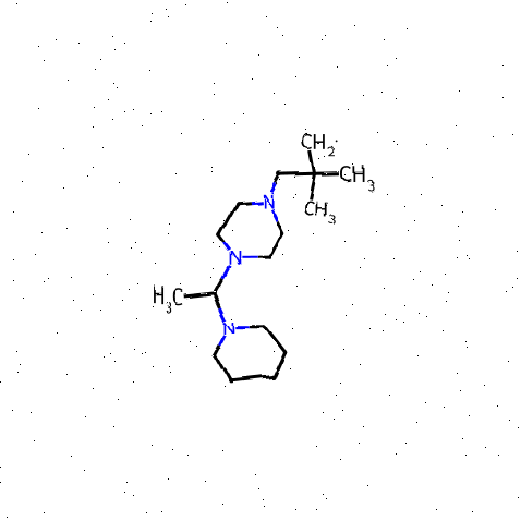 [CH2]C(C)(C)CN1CCN(C(C)N2CCCCC2)CC1